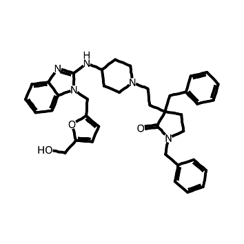 O=C1N(Cc2ccccc2)CCC1(CCN1CCC(Nc2nc3ccccc3n2Cc2ccc(CO)o2)CC1)Cc1ccccc1